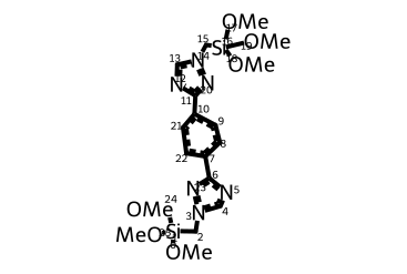 CO[Si](Cn1cnc(-c2ccc(-c3ncn(C[Si](OC)(OC)OC)n3)cc2)n1)(OC)OC